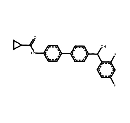 O=C(Nc1ccc(-c2ccc(C(O)c3ccc(F)cc3F)cc2)cc1)C1CC1